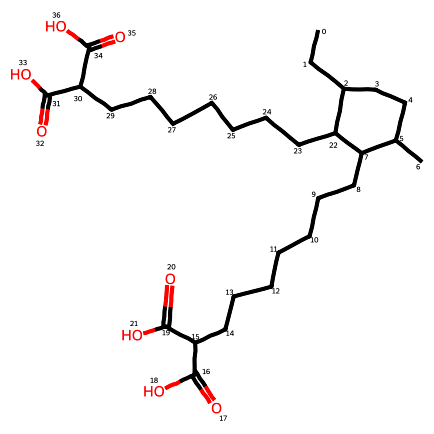 CCC1CCC(C)C(CCCCCCCC(C(=O)O)C(=O)O)C1CCCCCCCC(C(=O)O)C(=O)O